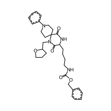 O=C(NCCCCC1NC(=O)C2(CCN(c3ccccc3)CC2)N(CC2CCCO2)C1=O)OCc1ccccc1